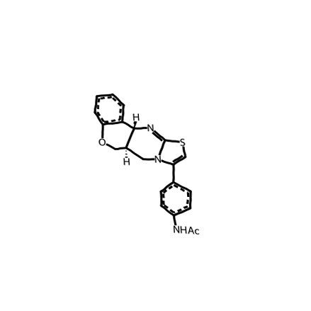 CC(=O)Nc1ccc(C2=CSC3=N[C@H]4c5ccccc5OC[C@@H]4CN23)cc1